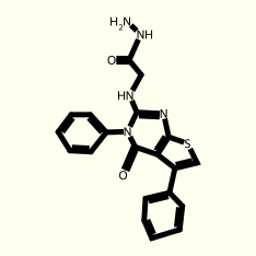 NNC(=O)CNc1nc2scc(-c3ccccc3)c2c(=O)n1-c1ccccc1